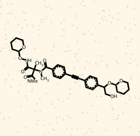 CNC(=O)C(C)(C(=O)NOC1CCCCO1)N(C)C(=O)c1ccc(C#Cc2ccc(C(CO)OC3CCCCO3)cc2)cc1